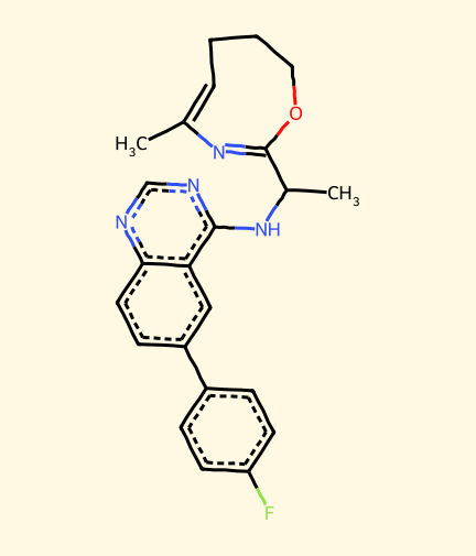 CC1=C\CCCO/C(C(C)Nc2ncnc3ccc(-c4ccc(F)cc4)cc23)=N\1